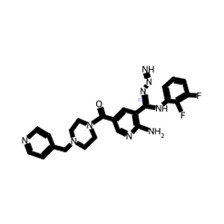 N=N/N=C(\Nc1cccc(F)c1F)c1cc(C(=O)N2CCN(Cc3ccncc3)CC2)cnc1N